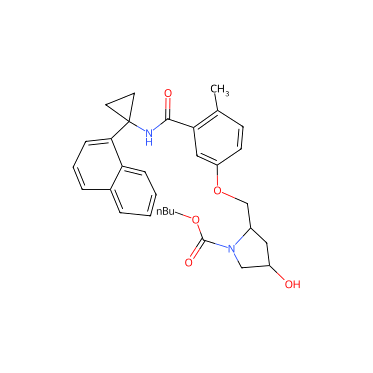 CCCCOC(=O)N1CC(O)CC1COc1ccc(C)c(C(=O)NC2(c3cccc4ccccc34)CC2)c1